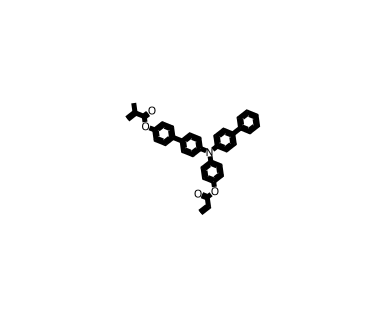 C=CC(=O)Oc1ccc(N(c2ccc(-c3ccccc3)cc2)c2ccc(-c3ccc(OC(=O)C(=C)C)cc3)cc2)cc1